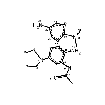 CCN(CC)c1ccc(N)c(NC(C)=O)c1.CN(C)c1ccc(N)cc1